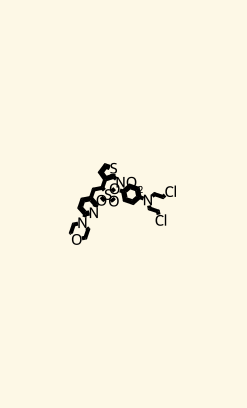 O=[N+]([O-])c1sccc1C(Cc1ccc(N2CCOCC2)nc1)S(=O)(=O)Oc1ccc(N(CCCl)CCCl)cc1